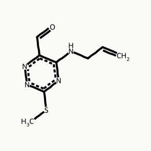 C=CCNc1nc(SC)nnc1C=O